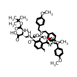 COc1ccc(CN(Cc2ccc(OC)cc2)S(=O)(=O)c2c(S(=O)(=O)NC[C@@H](NC(=O)OC(C)(C)C)C(=O)O)ccc(I)c2-c2nnn(Cc3ccc(OC)cc3)n2)cc1